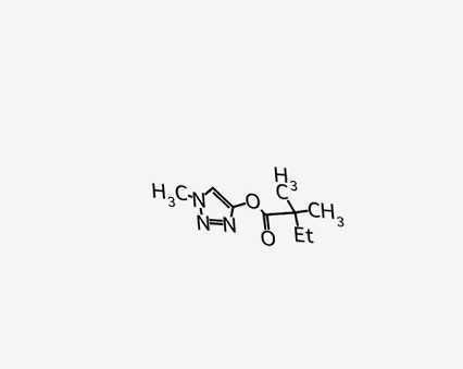 CCC(C)(C)C(=O)Oc1cn(C)nn1